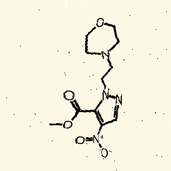 COC(=O)c1c([N+](=O)[O-])cnn1CCN1CCOCC1